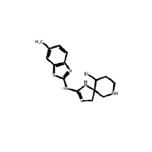 CCC1CCNCC12CN=C(Nc1nc3ccc(C)cc3s1)N2